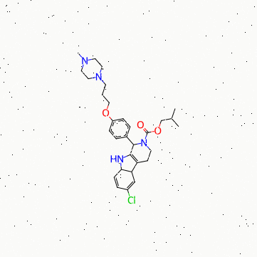 CC(C)COC(=O)N1CCC2=C(NC3C=CC(Cl)=CC23)C1c1ccc(OCCCN2CCN(C)CC2)cc1